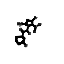 Cc1nc(Br)c([N+](=O)[O-])n1C(Cl)C(=O)c1cccc(Cl)c1